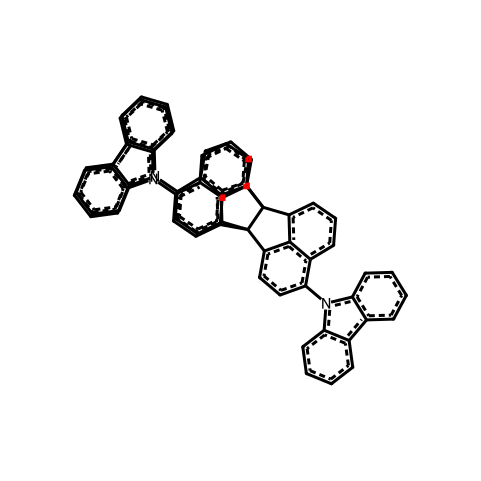 c1cc2c3c(ccc(-n4c5ccccc5c5ccccc54)c3c1)C13c4ccc(-n5c6ccccc6c6ccccc65)c5cccc(c45)C21c1cccc2c(-n4c5ccccc5c5ccccc54)ccc3c12